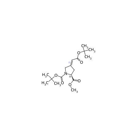 COC(=O)[C@@H]1C/C(=C\C(=O)OC(C)(C)C)CN1C(=O)OC(C)(C)C